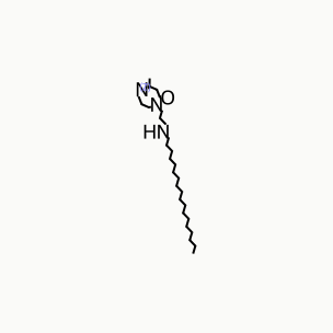 CCCCCCCCCCCCCCCCCCNCCCN1CCC/N=C(/C)CC1=O